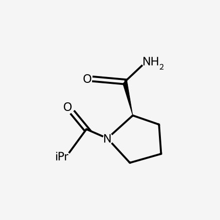 CC(C)C(=O)N1CCC[C@@H]1C(N)=O